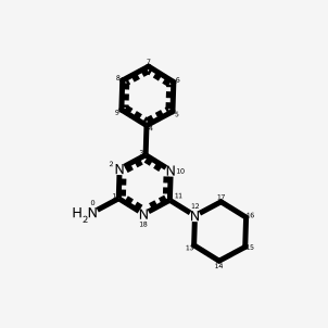 Nc1nc(-c2ccccc2)nc(N2CCCCC2)n1